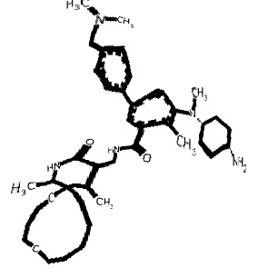 Cc1c(C(=O)NCC2C(=O)NC(C)C3(CCCCCCCCCC3)C2C)cc(-c2ccc(CN(C)C)cc2)cc1N(C)[C@H]1CC[C@@H](N)CC1